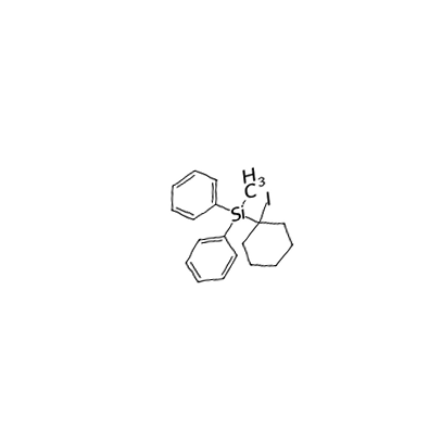 C[Si](c1ccccc1)(c1ccccc1)C1(I)CCCCC1